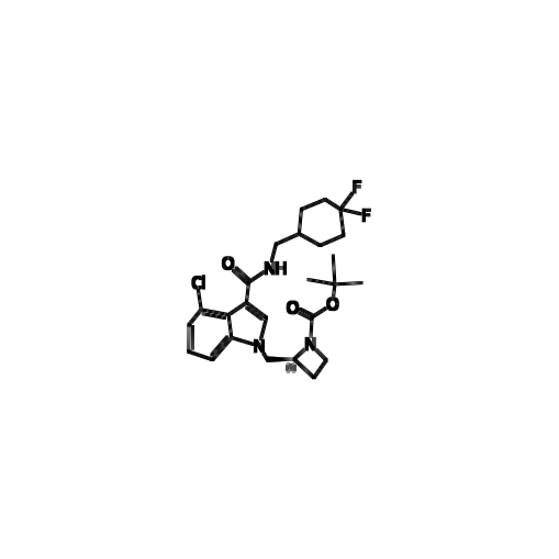 CC(C)(C)OC(=O)N1CC[C@H]1Cn1cc(C(=O)NCC2CCC(F)(F)CC2)c2c(Cl)cccc21